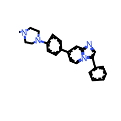 CN1CCN(c2ccc(-c3ccn4c(-c5ccccc5)cnc4c3)cc2)CC1